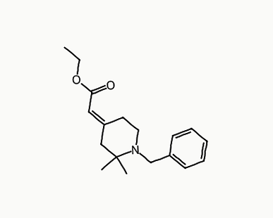 CCOC(=O)C=C1CCN(Cc2ccccc2)C(C)(C)C1